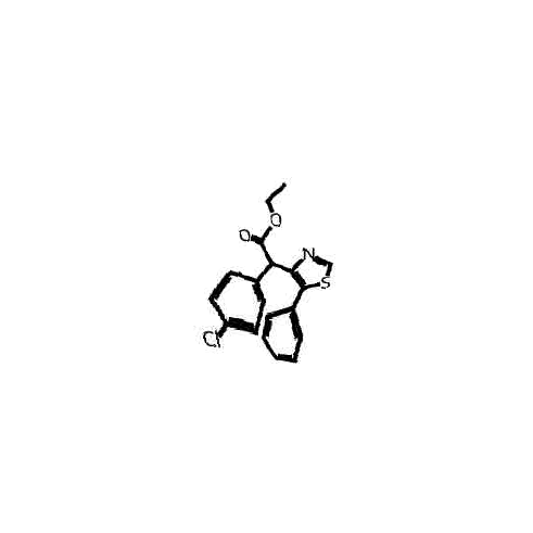 CCOC(=O)C(c1ccc(Cl)cc1)c1ncsc1-c1ccccc1